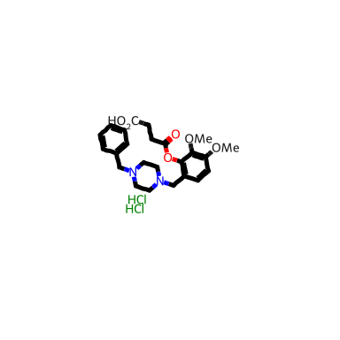 COc1ccc(CN2CCN(Cc3ccccc3)CC2)c(OC(=O)CCC(=O)O)c1OC.Cl.Cl